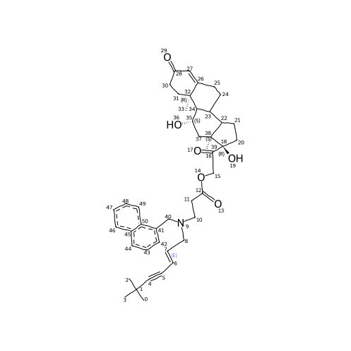 CC(C)(C)C#C/C=C/CN(CCC(=O)OCC(=O)[C@@]1(O)CCC2C3CCC4=CC(=O)CC[C@]4(C)C3[C@@H](O)C[C@@]21C)Cc1cccc2ccccc12